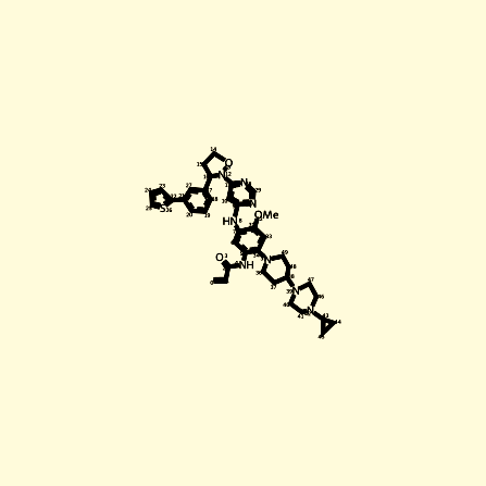 C=CC(=O)Nc1cc(Nc2cc(N3OCCC3c3cccc(-c4cccs4)c3)ncn2)c(OC)cc1N1CCC(N2CCN(C3CC3)CC2)CC1